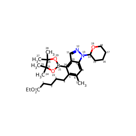 CCOC(=O)CCCCc1c(C)cc2c(cnn2C2CCCCO2)c1B1OC(C)(C)C(C)(C)O1